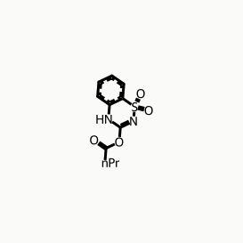 CCCC(=O)OC1=NS(=O)(=O)c2ccccc2N1